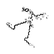 CCCCC/C=C\C/C=C\CCCCCCCC(=O)OCC(COC(=O)CCCCCCC/C=C\C/C=C\CCCCC)OC(=O)CCC(CCC(C)CCCC(C)C)OC(=O)Oc1ccc([N+](=O)[O-])cc1